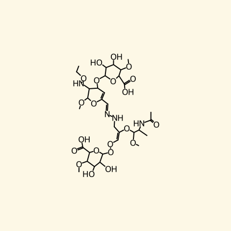 CCONC1C(OC2OC(C(=O)O)C(OC)C(O)C2O)C=C(C=NNC/C(=C\OOC2OC(C(=O)O)C(OC)C(O)C2O)OC(OC)C(C)NC(C)=O)OC1OC